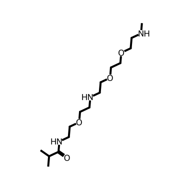 CNCCOCCOCCNCCOCCNC(=O)C(C)C